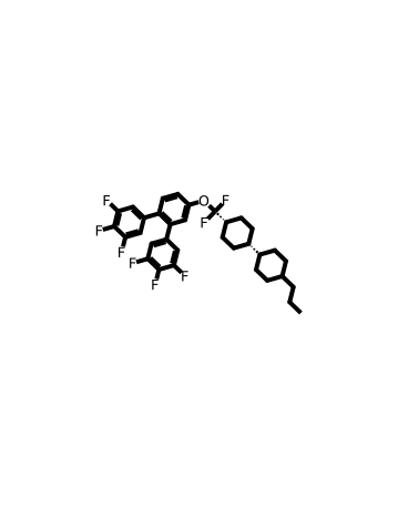 CCCC1CCC([C@H]2CC[C@@H](C(F)(F)Oc3ccc(-c4cc(F)c(F)c(F)c4)c(-c4cc(F)c(F)c(F)c4)c3)CC2)CC1